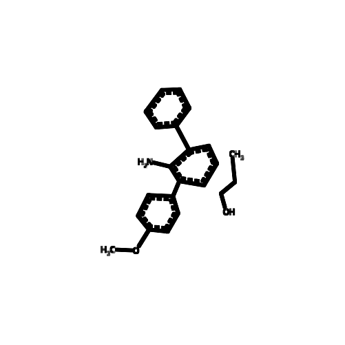 CCCO.COc1ccc(-c2cccc(-c3ccccc3)c2N)cc1